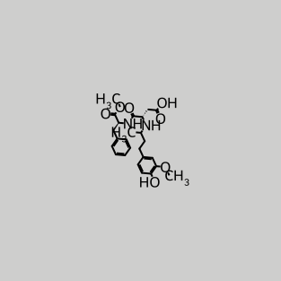 COC(=O)[C@H](Cc1ccccc1)NC(=O)[C@H](CC(=O)O)NC(C)CCc1ccc(O)c(OC)c1